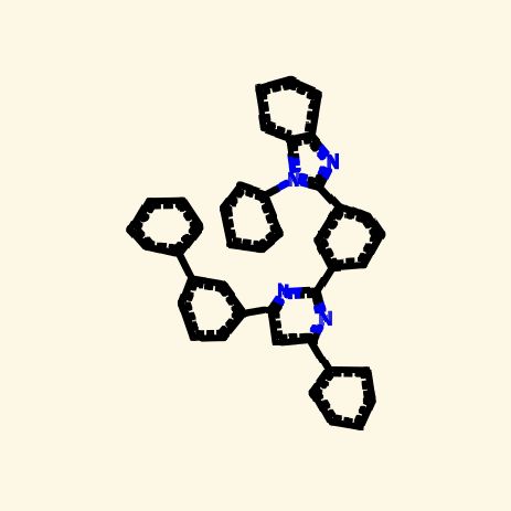 c1ccc(-c2cccc(-c3cc(-c4ccccc4)nc(-c4cccc(-c5nc6ccccc6n5-c5ccccc5)c4)n3)c2)cc1